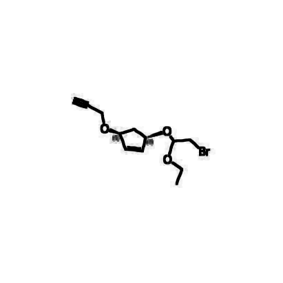 C#CCO[C@@H]1C=C[C@H](OC(CBr)OCC)C1